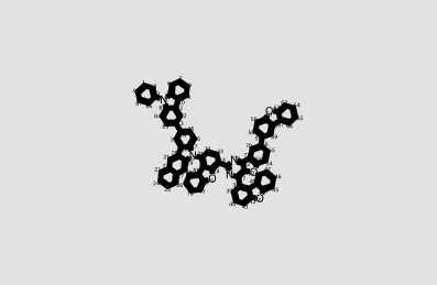 c1ccc(-n2c3ccccc3c3cc(-c4ccc5c(c4)c4cc6ccccc6cc4n5-c4ccc(-c5nc(-c6cccc7oc8ccccc8c67)c6oc7ccc(-c8ccc9oc%10ccccc%10c9c8)cc7c6n5)c5oc6ccccc6c45)ccc32)cc1